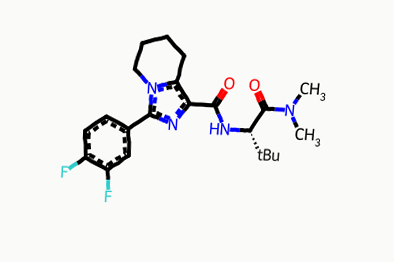 CN(C)C(=O)[C@@H](NC(=O)c1nc(-c2ccc(F)c(F)c2)n2c1CCCC2)C(C)(C)C